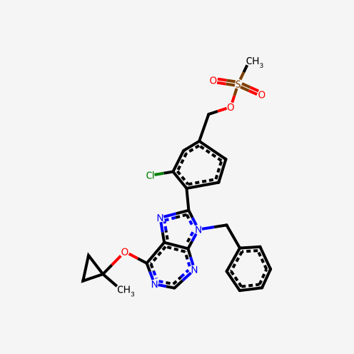 CC1(Oc2ncnc3c2nc(-c2ccc(COS(C)(=O)=O)cc2Cl)n3Cc2ccccc2)CC1